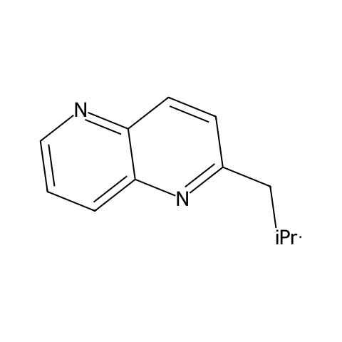 C[C](C)Cc1ccc2ncccc2n1